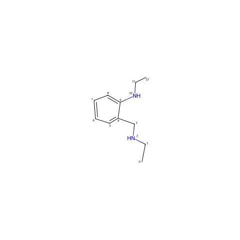 CCNCc1ccccc1NCC